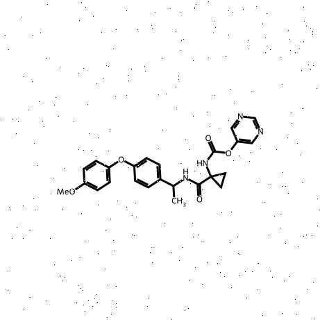 COc1ccc(Oc2ccc(C(C)NC(=O)C3(NC(=O)Oc4cncnc4)CC3)cc2)cc1